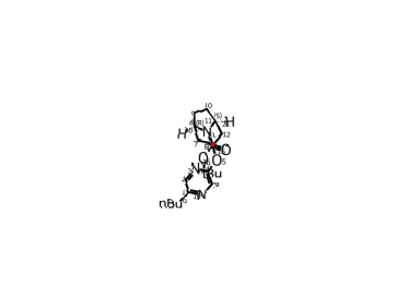 CCCCc1cnc(O[C@H]2C[C@H]3CC[C@@H](C2)N3C(=O)OC(C)(C)C)cn1